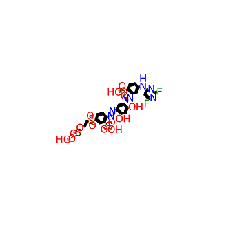 O=S(=O)(O)c1ccc(Nc2cc(F)nc(F)n2)cc1/N=N/c1cc(/N=N/c2ccc(S(=O)(=O)CCOSOOO)cc2S(=O)(=O)O)c(O)cc1O